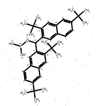 CC(C)(C)c1ccc2cc(C(OP(O)O)c3cc4ccc(C(C)(C)C)cc4cc3C(C)(C)C)c(C(C)(C)C)cc2c1